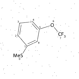 CSc1[c]ccc(OC(F)(F)F)c1